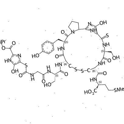 CSCC[C@H](NC(=O)[C@@H]1CSSC[C@H](NC(=O)[C@H](CO)NC(=O)CNC(=O)Sc2nc(C(=O)OC(C)C)[nH]c2O)C(=O)N[C@@H](Cc2ccc(O)cc2)C(=O)N2CCCC2c2nc(O)c([nH]2)C(=S)N[C@@H](CO)C(=O)N1)C(=O)O